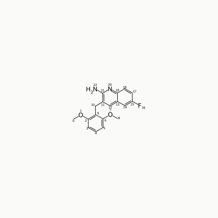 COc1cccc(OC)c1Cc1cc2cc(F)ccc2nc1N